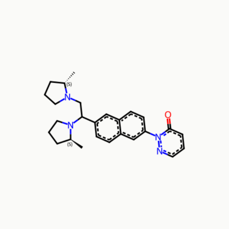 C[C@H]1CCCN1CC(c1ccc2cc(-n3ncccc3=O)ccc2c1)N1CCC[C@@H]1C